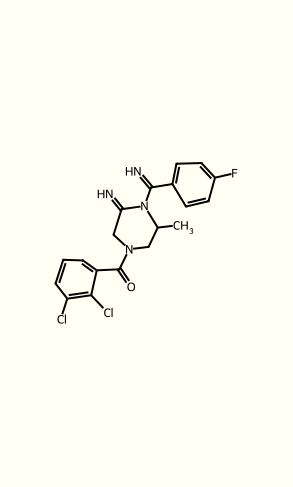 CC1CN(C(=O)c2cccc(Cl)c2Cl)CC(=N)N1C(=N)c1ccc(F)cc1